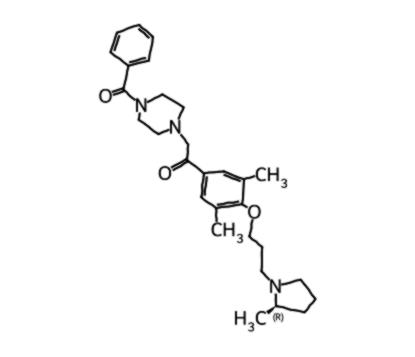 Cc1cc(C(=O)CN2CCN(C(=O)c3ccccc3)CC2)cc(C)c1OCCCN1CCC[C@H]1C